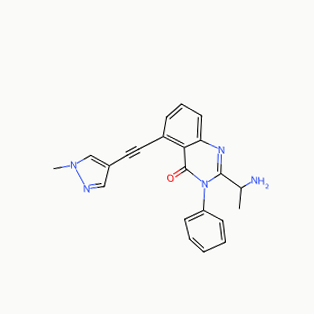 CC(N)c1nc2cccc(C#Cc3cnn(C)c3)c2c(=O)n1-c1ccccc1